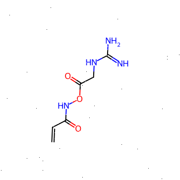 C=CC(=O)NOC(=O)CNC(=N)N